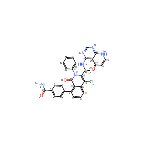 CNC(=O)c1ccc(-c2cccc3c(Cl)c([C@H](C)Nc4ncnc5[nH]ccc(=O)c45)n(-c4ccccc4)c(=O)c23)cc1